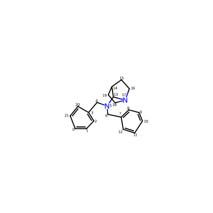 c1ccc(CN(Cc2ccccc2)C2C3CCN2CC3)cc1